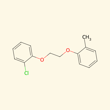 Cc1ccccc1OCCOc1ccccc1Cl